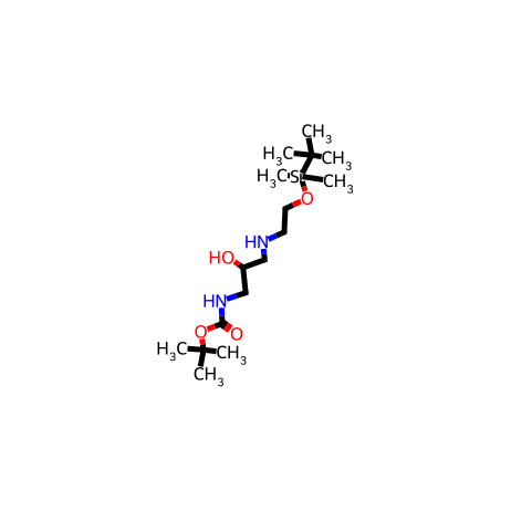 CC(C)(C)OC(=O)NCC(O)CNCCO[Si](C)(C)C(C)(C)C